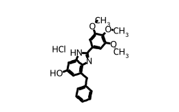 COc1cc(-c2nc3c(Cc4ccccc4)cc(O)cc3[nH]2)cc(OC)c1OC.Cl